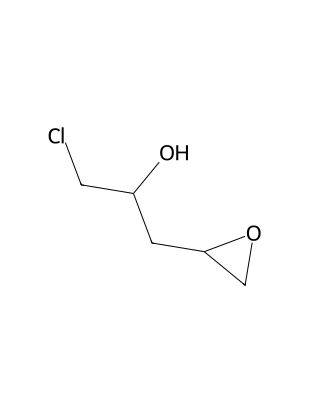 OC(CCl)CC1CO1